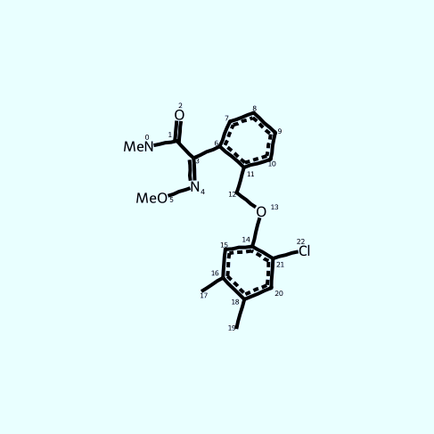 CNC(=O)C(=NOC)c1ccccc1COc1cc(C)c(C)cc1Cl